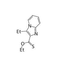 CCOC(=S)c1nc2ccccn2c1CC